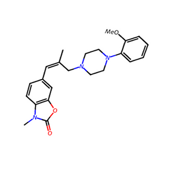 COc1ccccc1N1CCN(CC(C)=Cc2ccc3c(c2)oc(=O)n3C)CC1